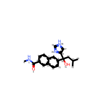 CNC(=O)c1ccc2cc(C(O)(CC(C)C)c3c[nH]cn3)ccc2c1